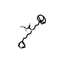 CCCNC(=O)N(CCCCc1ccncc1)CCCC12CC3CC(CC(C3)C1)C2